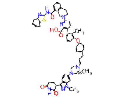 Cc1c(OC2CCC(CCCN3CCN(c4ccc5c(C6CCC(=O)NC6=O)nn(C)c5c4)C[C@H]3C)CC2)cccc1-c1ccc(N2CCc3cccc(C(=O)Nc4nc5ccccc5s4)c3C2)nc1C(=O)O